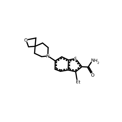 CCc1c(C(N)=O)sc2cc(N3CCC4(CC3)COC4)ccc12